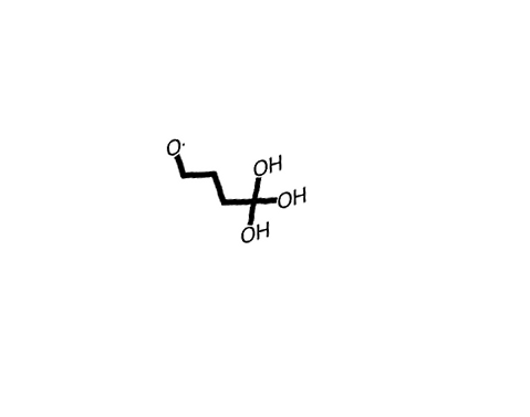 [O]CCCC(O)(O)O